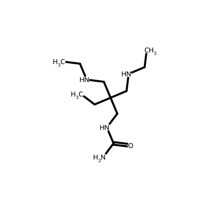 CCNCC(CC)(CNCC)CNC(N)=O